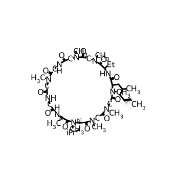 C/C=C/CC(C)CC1C(=O)NC(CC)C(=O)N(C)CC(=O)N(C)CC(=O)NCC(=O)N(C)CC(=O)NCC(=O)N[C@H](C)C(=O)N(C)[C@@H](CC(C)C)C(=O)N(C)CC(=O)N(C)CC(=O)N1C